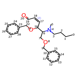 CCCCN(C)C(COCc1ccccc1)C(/C=C\C=O)OCc1ccccc1